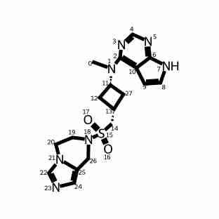 CN(c1ncnc2[nH]ccc12)[C@H]1C[C@@H](CS(=O)(=O)N2CCn3cncc3C2)C1